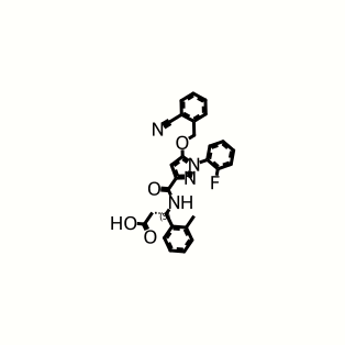 Cc1ccccc1[C@H](CC(=O)O)NC(=O)c1cc(OCc2ccccc2C#N)n(-c2ccccc2F)n1